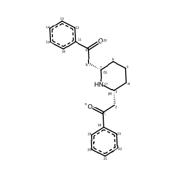 O=C(C[C@H]1CCC[C@@H](CC(=O)c2ccccc2)N1)c1ccccc1